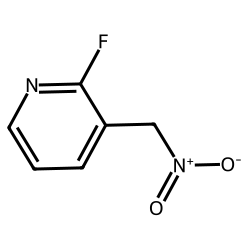 O=[N+]([O-])Cc1cccnc1F